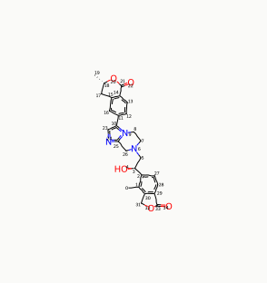 Cc1c([C@@H](O)CN2CCn3c(-c4ccc5c(c4)C[C@H](C)OC5=O)cnc3C2)ccc2c1COC2=O